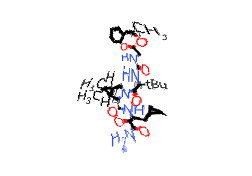 C[C@H](OC(=O)CNC(=O)N[C@H](C(=O)N1C[C@H]2[C@@H]([C@H]1C(=O)NC(CC1CC1)C(=O)C(N)=O)C2(C)C)C(C)(C)C)c1ccccc1